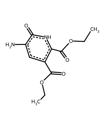 CCOC(=O)c1cc(N)c(=O)[nH]c1C(=O)OCC